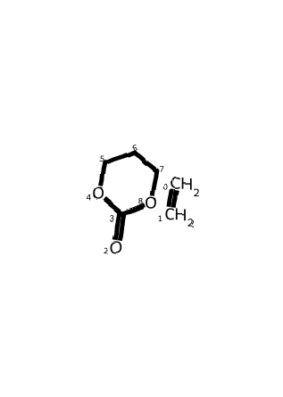 C=C.O=C1OCCCO1